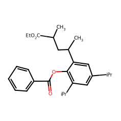 CCOC(=O)C(C)CC(C)c1cc(C(C)C)cc(C(C)C)c1OC(=O)c1ccccc1